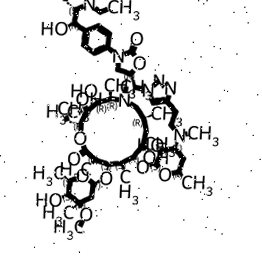 CC[C@H]1OC(=O)[C@H](C)[C@@H](O[C@H]2C[C@@](C)(OC)[C@@H](O)[C@H](C)O2)[C@H](C)[C@@H](O[C@@H]2O[C@H](C)C[C@H](N(C)CCc3cn(C[C@H]4CN(c5ccc([C@@H](O)[C@H](CO)N(CC)CC)cc5)C(=O)O4)nn3)[C@H]2O)[C@](C)(O)C[C@@H](C)CN(C)[C@H](C)[C@@H](O)[C@]1(C)O